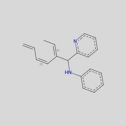 C=C/C=C\C(=C/C)C(Nc1ccccc1)c1ccccn1